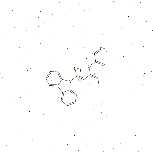 C=CC(=O)OC(=C/I)/C=C(\C)n1c2ccccc2c2ccccc21